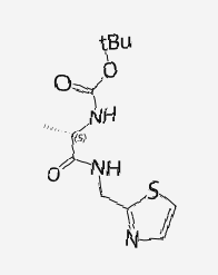 C[C@H](NC(=O)OC(C)(C)C)C(=O)NCc1nccs1